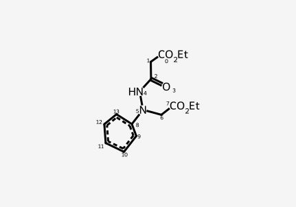 CCOC(=O)CC(=O)NN(CC(=O)OCC)c1ccccc1